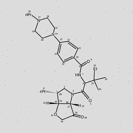 CCC[C@@H]1CN(C(=O)C(NC(=O)c2ccc(N3CCN(CCC)CC3)cc2)C(C)(C)CC)[C@@H]2C(=O)CO[C@H]12